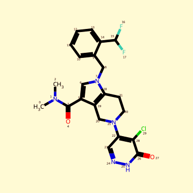 CN(C)C(=O)c1cn(Cc2ccccc2C(F)F)c2c1CN(c1cn[nH]c(=O)c1Cl)CC2